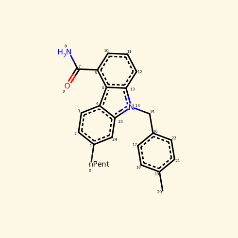 CCCCCc1c[c]c2c3c(C(N)=O)cccc3n(Cc3ccc(C)cc3)c2c1